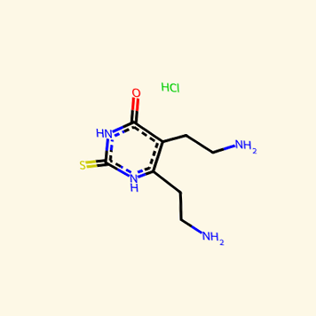 Cl.NCCc1[nH]c(=S)[nH]c(=O)c1CCN